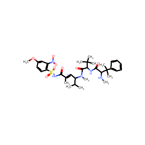 CNC(C(=O)NC(C(=O)N(C)C(/C=C(\C)C(=O)NS(=O)(=O)c1ccc(OC)cc1[N+](=O)[O-])C(C)C)C(C)(C)C)C(C)(C)c1ccccc1